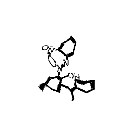 Cc1cc(N=Nc2ccccc2[N+](=O)[O-])c(O)c(C(C)c2ccccc2)c1